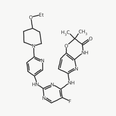 CCOC1CCN(c2ccc(Nc3ncc(F)c(Nc4ccc5c(n4)NC(=O)C(C)(C)O5)n3)cn2)CC1